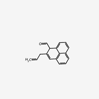 C=CCC1=Cc2cccc3cccc(c23)C1C=O